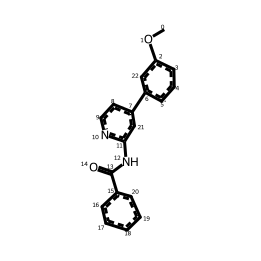 COc1cc[c]c(-c2ccnc(NC(=O)c3ccccc3)c2)c1